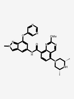 COc1ncc2c(N3C[C@@H](C)N[C@@H](C)C3)ccc(C(=O)Nc3cc(Oc4cncnc4)c4nn(C)cc4c3)c2n1